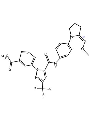 CO/N=C1/CCCN1c1ccc(NC(=O)c2cc(C(F)(F)F)nn2-c2cccc(C(N)=S)c2)cc1